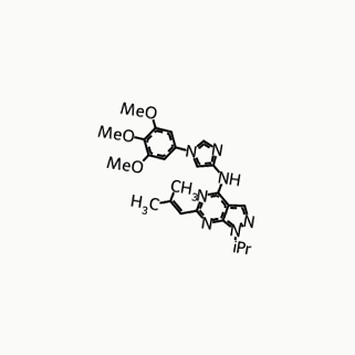 COc1cc(-n2cnc(Nc3nc(C=C(C)C)nc4c3cnn4C(C)C)c2)cc(OC)c1OC